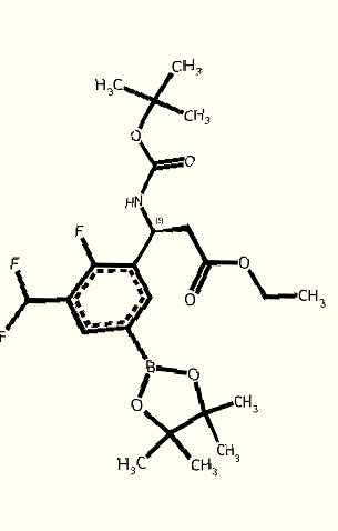 CCOC(=O)C[C@H](NC(=O)OC(C)(C)C)c1cc(B2OC(C)(C)C(C)(C)O2)cc(C(F)F)c1F